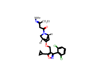 CCOC(=O)/C(CC(=O)N1C[C@@H]2C[C@H]1C[C@H]2OCc1c(-c2c(Cl)cccc2Cl)noc1C1CC1)=N\NC